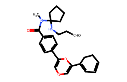 CN(C(=O)c1ccc(C2=COC=C(C3=CC=CCC3)O2)cc1)C1(NCCC=O)CCCC1